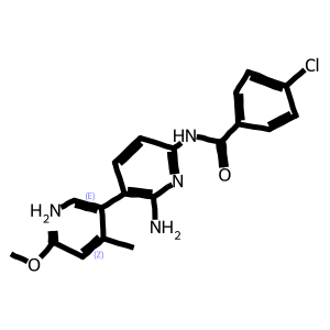 C=C(/C=C(C)\C(=C/N)c1ccc(NC(=O)c2ccc(Cl)cc2)nc1N)OC